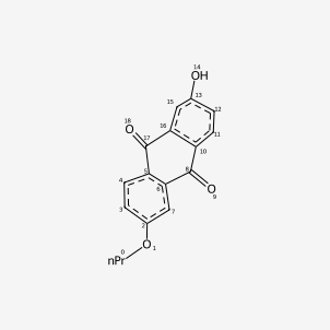 CCCOc1ccc2c(c1)C(=O)c1ccc(O)cc1C2=O